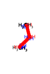 CC(C)(C)N(Nc1ccc(C(=O)NCCOCCOCCOCCOCCOCCOCCOCCOCCC(=O)NCCCC[C@H](NC(=O)CCOCCOCCOCCOCCOCCOCCOCCOCCNC(=O)c2ccc(NN(C(=O)O)C(C)(C)C)nc2)C(=O)O)cn1)C(=O)O